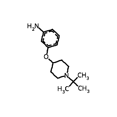 CC(C)(C)N1CCC(Oc2cccc(N)c2)CC1